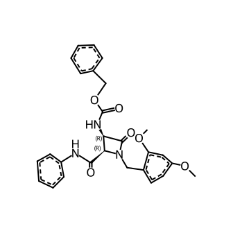 COc1ccc(CN2C(=O)[C@H](NC(=O)OCc3ccccc3)[C@@H]2C(=O)Nc2ccccc2)c(OC)c1